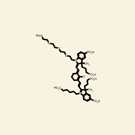 COCCOCCOCCOCCN1/C(=C/C=C2\CCCC(/C=C/C3=[N+](CCCCCC(=O)O)c4ccc(S(=O)(=O)O)cc4C3(C)CCCS(=O)(=O)O)=C2Cl)C(C)(CCCS(=O)(=O)O)c2cc(S(=O)(=O)O)ccc21